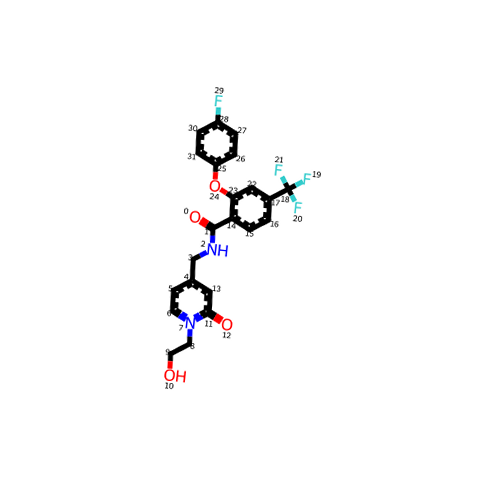 O=C(NCc1ccn(CCO)c(=O)c1)c1ccc(C(F)(F)F)cc1Oc1ccc(F)cc1